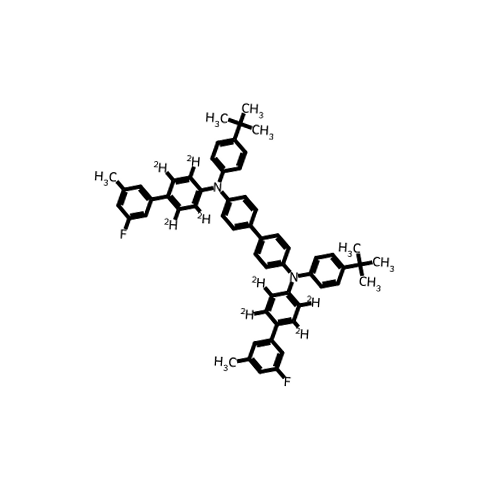 [2H]c1c([2H])c(N(c2ccc(-c3ccc(N(c4ccc(C(C)(C)C)cc4)c4c([2H])c([2H])c(-c5cc(C)cc(F)c5)c([2H])c4[2H])cc3)cc2)c2ccc(C(C)(C)C)cc2)c([2H])c([2H])c1-c1cc(C)cc(F)c1